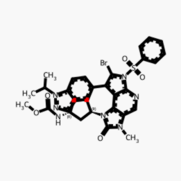 COC(=O)N[C@@H]1CC[C@@H](n2c(=O)n(C)c3cnc4c(c(-c5ccc6c(cnn6C(C)C)c5)c(Br)n4S(=O)(=O)c4ccccc4)c32)C1